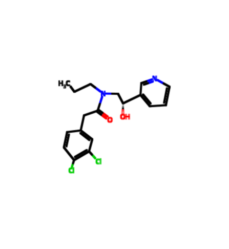 CCCN(C[C@@H](O)c1cccnc1)C(=O)Cc1ccc(Cl)c(Cl)c1